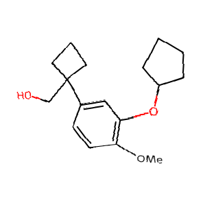 COc1ccc(C2(CO)CCC2)cc1OC1CCCC1